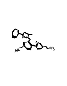 Cc1cc(-c2ccccc2)nn1Cc1cc(C#N)ccc1-c1ccc(CCN)cn1